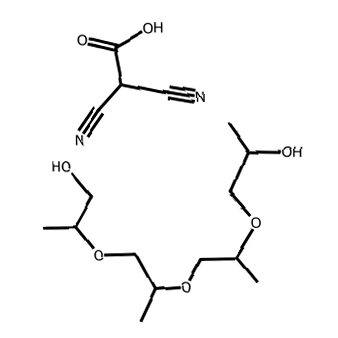 CC(O)COC(C)COC(C)COC(C)CO.N#CC(C#N)C(=O)O